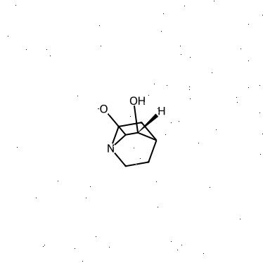 [O]C1[C@H](O)C2CCN1CC2